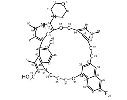 C/C(=C1/CC(CN2CCOCC2)OCc2cc(n(C)n2)CCc2cc(c3ccc(F)cc3c2)OCCCn2c(C(=O)O)c(C)c3c1c(Cl)ccc32)N(C)N